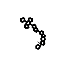 C1=CC2Sc3c(ccc4cc5sc6ccc(-c7ccc8cc(-c9c%10ccccc%10c(-c%10ccccc%10)c%10ccccc9%10)ccc8c7)cc6c5cc34)C2C=C1